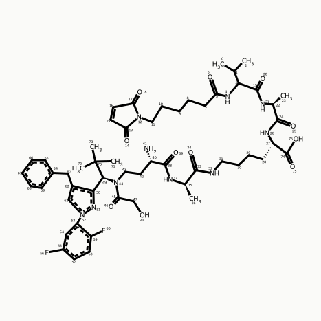 CC(C)C(NC(=O)CCCCCN1C(=O)C=CC1=O)C(=O)N[C@@H](C)C(=O)N[C@@H](CCCCNC(=O)[C@@H](C)NC(=O)[C@@H](N)CCN(C(=O)CO)[C@@H](c1nn(-c2cc(F)ccc2F)cc1Cc1ccccc1)C(C)(C)C)C(=O)O